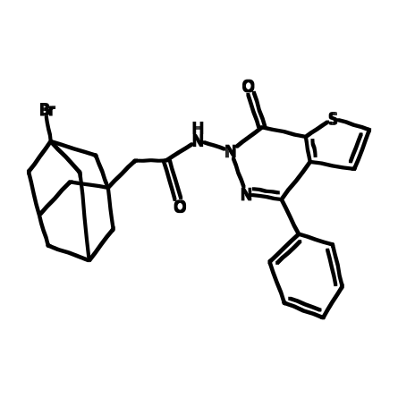 O=C(CC12CC3CC(CC(Br)(C3)C1)C2)Nn1nc(-c2ccccc2)c2ccsc2c1=O